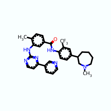 Cc1ccc(C(=O)Nc2ccc(C3CCCCN(C)C3)cc2C(F)(F)F)cc1Nc1nccc(-c2cccnc2)n1